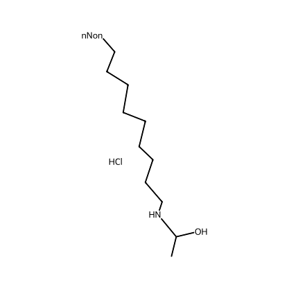 CCCCCCCCCCCCCCCCCCNC(C)O.Cl